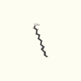 CC=C/C=C/CCCCCCCOC(C)=O